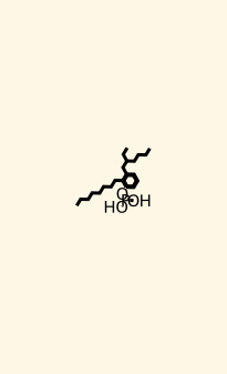 CCCCCCCCc1c(CC(CC)CCCC)cccc1OP(O)O